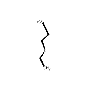 [CH2]COC[CH]C